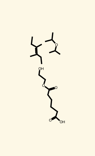 CC(C)OC(C)C.CC/C(C)=C(\C)CC.O=C(O)CCCCC(=O)OCCO